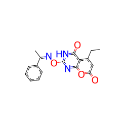 CCc1cc(=O)oc2nc(O/N=C(/C)c3ccccc3)[nH]c(=O)c12